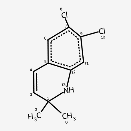 CC1(C)C=Cc2cc(Cl)c(Cl)cc2N1